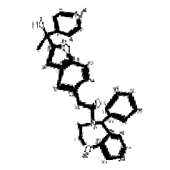 CC(O)(c1ccncc1)c1cc2cc(CC(=O)N3CCOc4ccccc4C3c3ccccc3)ccc2o1